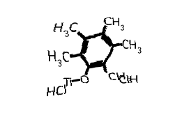 Cc1c(C)c(C)c([O][Ti])c(C)c1C.Cl.Cl